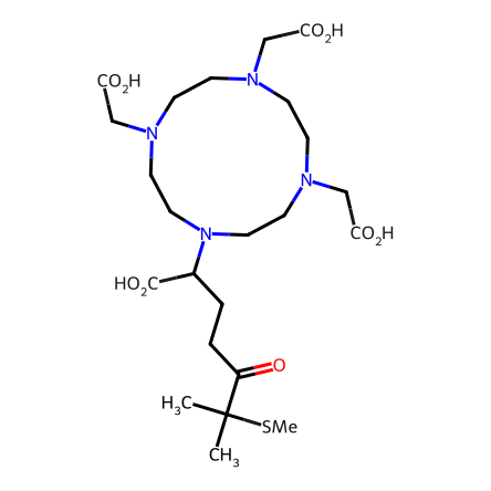 CSC(C)(C)C(=O)CCC(C(=O)O)N1CCN(CC(=O)O)CCN(CC(=O)O)CCN(CC(=O)O)CC1